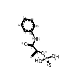 C=C(OP(O)(O)=S)C(=O)Nc1ccccc1